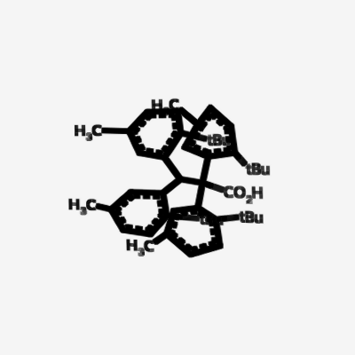 Cc1ccc(C(C)(C)C)c(C(c2cc(C)ccc2C(C)(C)C)C(C(=O)O)(c2cc(C)ccc2C(C)(C)C)c2cc(C)ccc2C(C)(C)C)c1